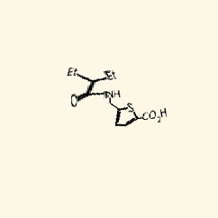 CCC(CC)C(=O)NCc1ccc(C(=O)O)s1